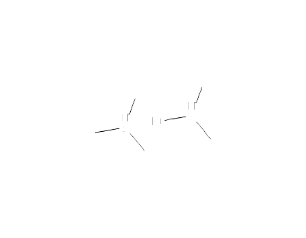 CC[SiH](C)C.C[SiH](C)C